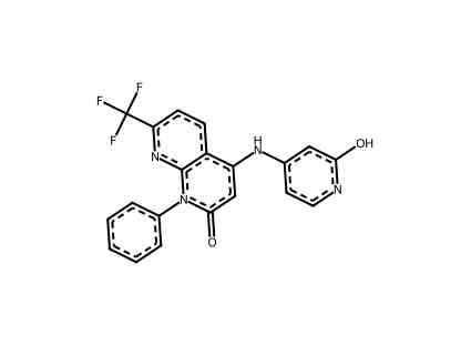 O=c1cc(Nc2ccnc(O)c2)c2ccc(C(F)(F)F)nc2n1-c1ccccc1